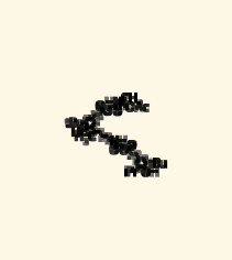 CC(=O)OCC(C)NC(=O)COC(=O)CCc1cc(C(C)C/C=C/CNC(=O)COC(=O)CCc2cc(C(C)C)c(O)c(C(C)(C)C)c2)c(O)c(C(C)(C)C)c1